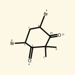 CC1(C)C(=O)C(Br)CC(Br)C1=O